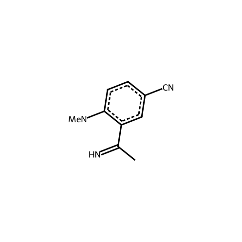 CNc1ccc(C#N)cc1C(C)=N